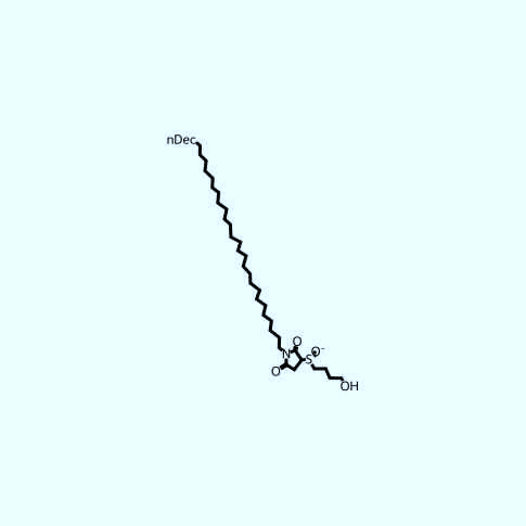 CCCCCCCCCCCCCCCCCCCCCCCCCCCCCCCCCCCCN1C(=O)CC([S+]([O-])CCCCO)C1=O